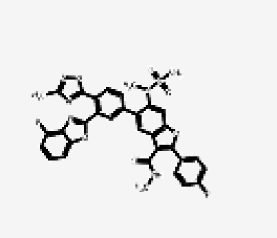 CNC(=O)c1c(-c2ccc(F)cc2)oc2cc(N(C)S(C)(=O)=O)c(-c3ccc(-c4nc(C)no4)c(-c4nc5c(F)cccc5o4)c3)cc12